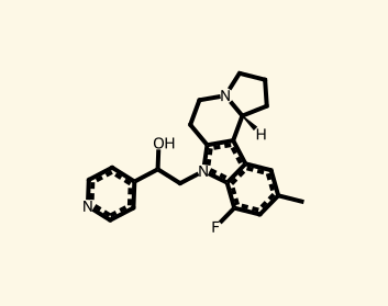 Cc1cc(F)c2c(c1)c1c(n2CC(O)c2ccncc2)CCN2CCC[C@H]12